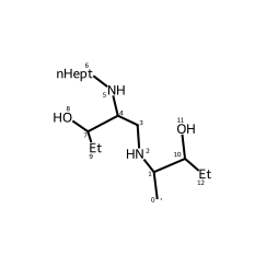 [CH2]C(NCC(NCCCCCCC)C(O)CC)C(O)CC